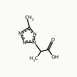 Cc1nnn(C(C)C(=O)O)n1